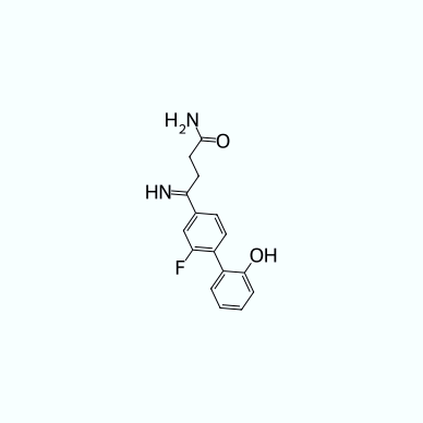 N=C(CCC(N)=O)c1ccc(-c2ccccc2O)c(F)c1